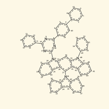 c1ccc(-c2ccc(-c3nc(-c4ccccc4)nc(-n4c5ccccc5c5c(-n6c7ccccc7c7ccccc76)c6c7ccccc7n(-c7ccccc7)c6cc54)n3)cc2)cc1